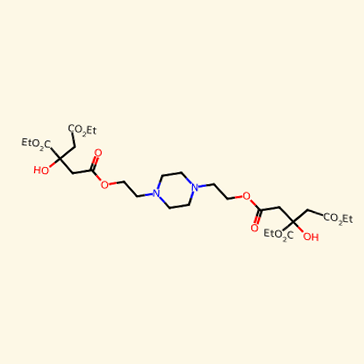 CCOC(=O)CC(O)(CC(=O)OCCN1CCN(CCOC(=O)CC(O)(CC(=O)OCC)C(=O)OCC)CC1)C(=O)OCC